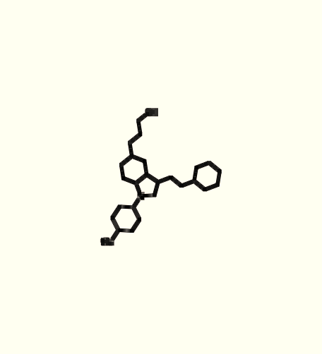 CC(C)(C)C1CCC(N2CC(CCC3CCCCC3)C3CC(CCCO)CCC32)CC1